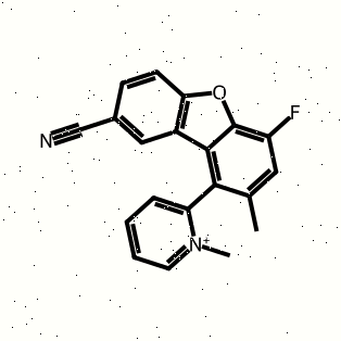 Cc1cc(F)c2oc3ccc(C#N)cc3c2c1-c1cccc[n+]1C